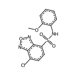 COc1ccccc1NS(=O)(=O)c1ccc(Cl)c2nonc12